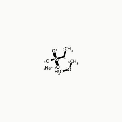 CCS(=O)(=O)[O-].COC.[Na+]